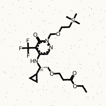 CCOC(=O)CCOC[C@@H](Nc1cnn(COCC[Si](C)(C)C)c(=O)c1C(F)(F)F)C1CC1